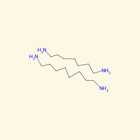 NCCCCCCCCN.NCCCCCCCN